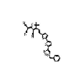 CC1(C)OC(=C(C#N)C#N)C(C#N)=C1/C=C/c1ccc(-c2ccc(-c3cn(Cc4ccccc4)nn3)s2)s1